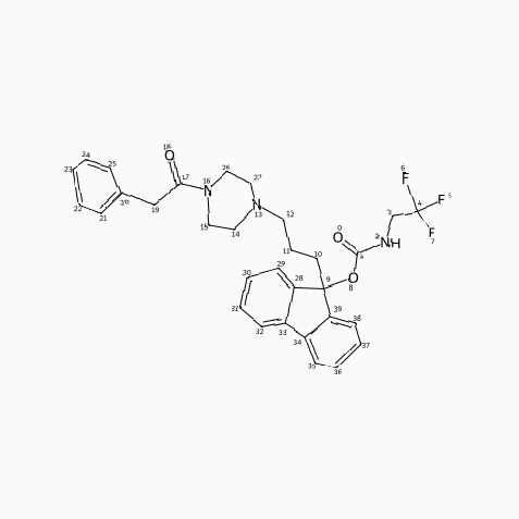 O=C(NCC(F)(F)F)OC1(CCCN2CCN(C(=O)Cc3ccccc3)CC2)c2ccccc2-c2ccccc21